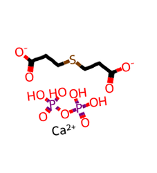 O=C([O-])CCSCCC(=O)[O-].O=P(O)(O)OP(=O)(O)O.[Ca+2]